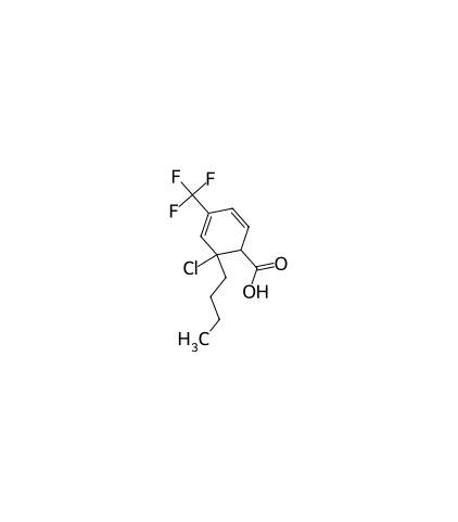 CCCCC1(Cl)C=C(C(F)(F)F)C=CC1C(=O)O